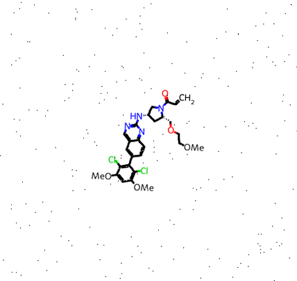 C=CC(=O)N1C[C@@H](Nc2ncc3cc(-c4c(Cl)c(OC)cc(OC)c4Cl)ccc3n2)C[C@H]1COCCOC